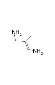 C/C(=C\N)CN